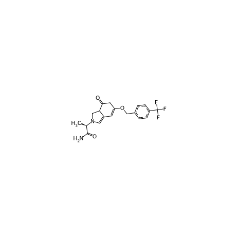 C[C@H](C(N)=O)N1C=C2C=C(OCc3ccc(C(F)(F)F)cc3)CC(=O)C2C1